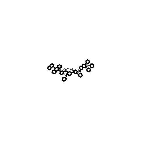 CC1(C)c2cc(-c3ccc4c(c3)c3ccccc3n4-c3ccc4cc5c(cc4c3)[Si](c3ccccc3)(c3ccccc3)c3ccccc3-5)ccc2N(c2ccccc2)c2ccc(-c3c4ccccc4c(-c4cccc5ccccc45)c4ccccc34)cc21